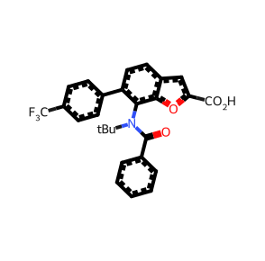 CC(C)(C)N(C(=O)c1ccccc1)c1c(-c2ccc(C(F)(F)F)cc2)ccc2cc(C(=O)O)oc12